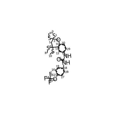 CSC1(SC)CC(SC)(SC)c2cc(NC(=O)Nc3ccc(OC(F)(F)F)cc3)ccc2O1